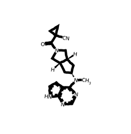 CN(c1ncnc2[nH]ccc12)[C@@H]1C[C@@H]2CN(C(=O)C3(C#N)CC3)C[C@@H]2C1